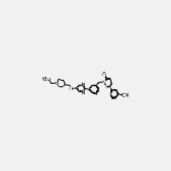 CC(C)(C)CN1CCC(COc2cnc(-c3cccc(Cn4nc(-c5cccc(C#N)c5)ccc4=O)c3)nc2)CC1